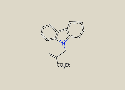 C=C(Cn1c2ccccc2c2ccccc21)C(=O)OCC